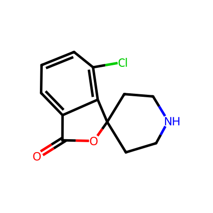 O=C1OC2(CCNCC2)c2c(Cl)cccc21